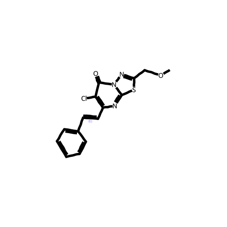 COCc1nn2c(=O)c(Cl)c(/C=C/c3ccccc3)nc2s1